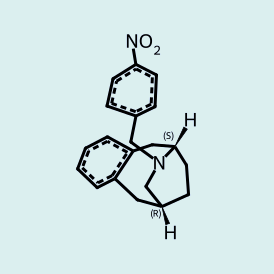 O=[N+]([O-])c1ccc(CN2C[C@@H]3CC[C@H]2Cc2ccccc2C3)cc1